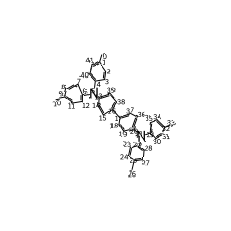 Cc1ccc(N(c2ccc(C)cc2)c2ccc(-c3ccc(N(c4ccc(C)cc4)c4ccc(C)cc4)cc3)cc2)cc1